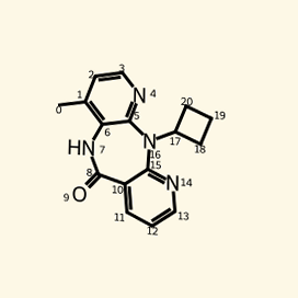 Cc1ccnc2c1NC(=O)c1cccnc1N2C1CCC1